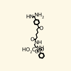 N=C(N)c1ccc(C(=O)CCCCC(=O)NC[C@H](NS(=O)(=O)c2ccccc2)C(=O)O)cc1